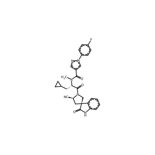 CN(C(=O)c1cnn(-c2ccc(F)cc2)c1)[C@@H](CC1CC1)C(=O)N1C[C@]2(C[C@H]1C#N)C(=O)Nc1ccccc12